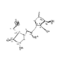 O=C1O[C@H]([C@@H](O)CN2C[C@H](O)[C@@H](O)[C@@H]2CO)[C@H](O)[C@@H]1O